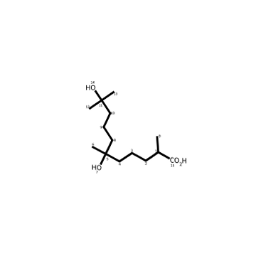 CC(CCCC(C)(O)CCCC(C)(C)O)C(=O)O